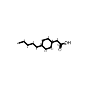 CCCCCC1CCC(CC(=O)O)CC1